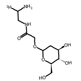 [2H]C(N)CNC(=O)COC1C[C@@H](O)[C@H](O)[C@@H](CO)O1